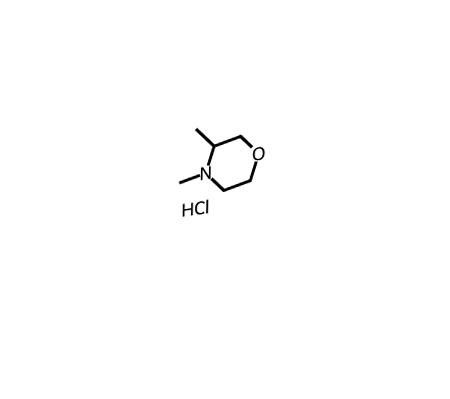 CC1COCCN1C.Cl